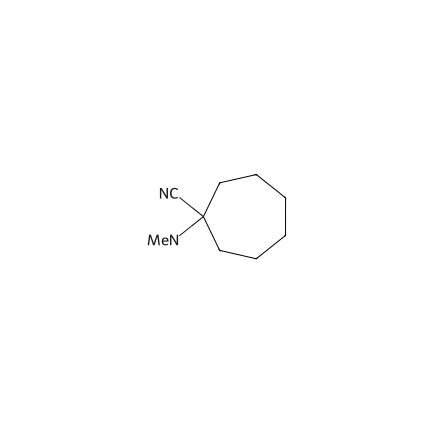 CNC1(C#N)CCCCCC1